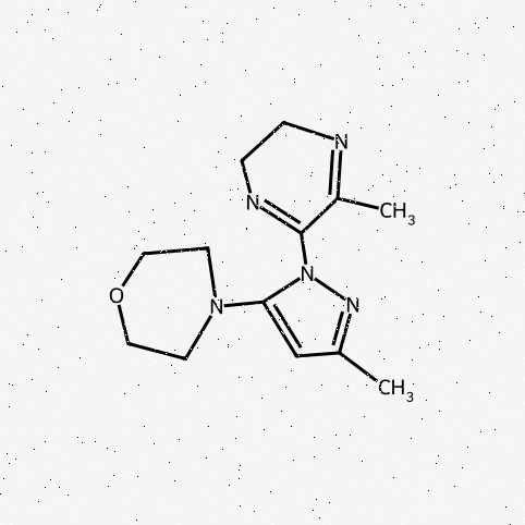 CC1=NCCN=C1n1nc(C)cc1N1CCOCC1